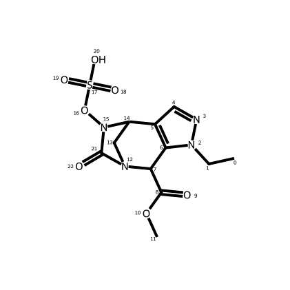 CCn1ncc2c1C(C(=O)OC)N1CC2N(OS(=O)(=O)O)C1=O